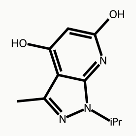 Cc1nn(C(C)C)c2nc(O)cc(O)c12